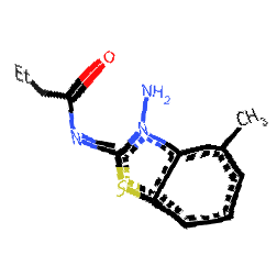 CCC(=O)N=c1sc2cccc(C)c2n1N